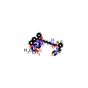 CC(C(=O)N[C@H](C(=O)N1CCCC1C(=O)NC(C(=O)NCCCCCCNC(=O)COc1c(-c2csc(N3CCOCC3)n2)ccc(F)c1F)C(c1ccccc1)c1ccccc1)C1CCCCC1)N(C)C(=O)O